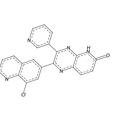 O=c1ccc2nc(-c3cc(Cl)c4ncccc4c3)c(-c3cccnc3)nc2[nH]1